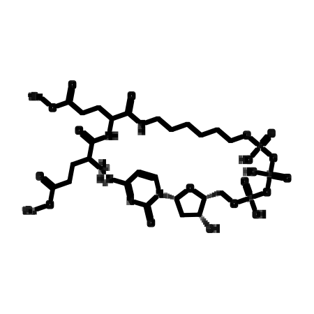 CC(C)(C)OC(=O)CCC(N)C(=O)NC(CCC(=O)OC(C)(C)C)C(=O)NCCCCCCOP(=O)(O)OP(=O)(O)OP(=O)(O)OC[C@H]1O[C@@H](n2ccc(N)nc2=O)C[C@H]1O